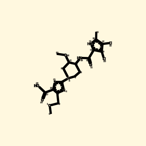 COCc1nc(N2CCC(NC(=O)c3[nH]c(C)c(Cl)c3Cl)C(OC)C2)sc1C(=O)O